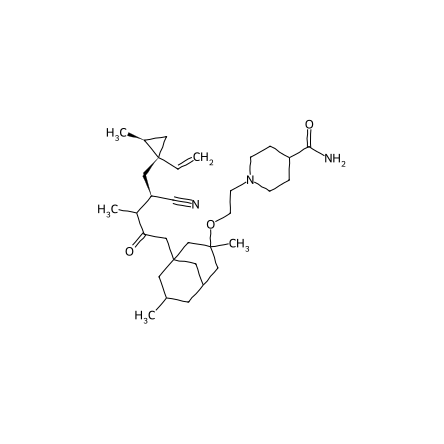 C=C[C@@]1(C[C@@H](C#N)C(C)C(=O)CC23CC(C)CC(C2)CC(C)(OCCN2CCC(C(N)=O)CC2)C3)C[C@@H]1C